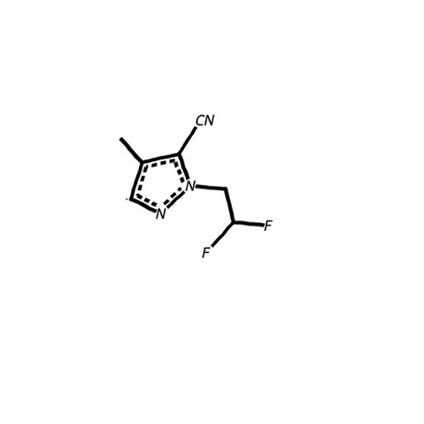 Cc1[c]nn(CC(F)F)c1C#N